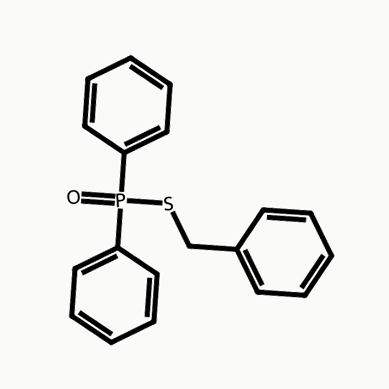 O=P(SCc1ccccc1)(c1ccccc1)c1ccccc1